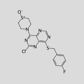 [O-][S+]1CCN(c2nc(Cl)nc3c(SCc4ccc(F)cc4)ncnc23)CC1